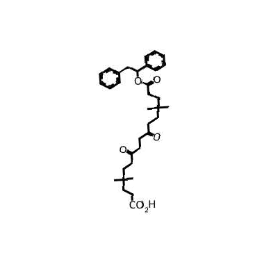 CC(C)(CCC(=O)O)CCC(=O)CCC(=O)CCC(C)(C)CCC(=O)OC(Cc1ccccc1)c1ccccc1